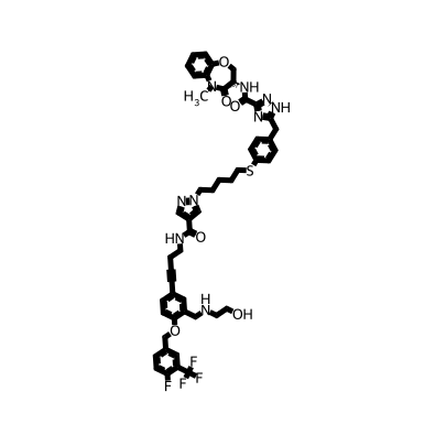 CN1C(=O)[C@@H](NC(=O)c2n[nH]c(Cc3ccc(SCCCCCn4cc(C(=O)NCCC#Cc5ccc(OCc6ccc(F)c(C(F)(F)F)c6)c(CNCCO)c5)cn4)cc3)n2)COc2ccccc21